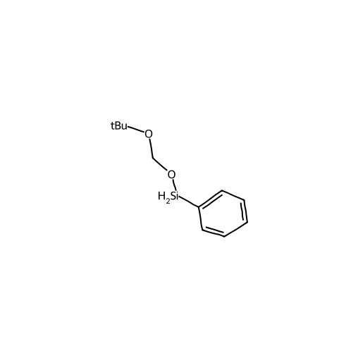 CC(C)(C)OCO[SiH2]c1ccccc1